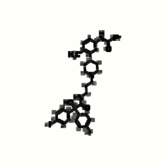 Cc1ccc(NC(=O)C(C)C)cc1C1CCN(CCCNC(=O)C(O)(c2ccc(F)cc2)c2ccc(F)cc2)CC1